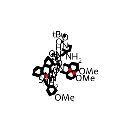 COc1ccc(CN(Cc2ccc(OC)cc2)S(=O)(=O)c2c(S(=O)(=O)NC[C@@]3(N)CCN(C(=O)OC(C)(C)C)C3)ccc(-c3cccc4sc(N)nc34)c2-c2nnn(Cc3ccc(OC)cc3)n2)cc1